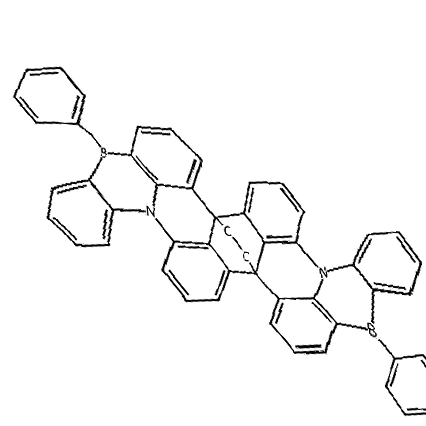 c1ccc(B2c3ccccc3N3c4cccc5c4C4(CCC56c5cccc7c5N(c5ccccc5B7c5ccccc5)c5cccc4c56)c4cccc2c43)cc1